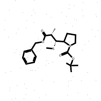 CS[C@@H](C1CCCN1C(=O)OC(C)(C)C)[C@@H](C)C(=O)OCc1ccccc1